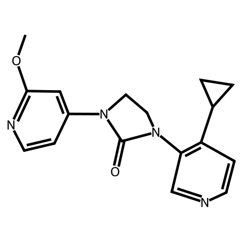 COc1cc(N2CCN(c3cnccc3C3CC3)C2=O)ccn1